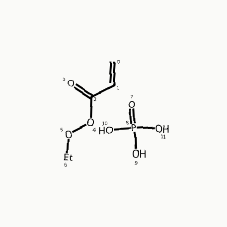 C=CC(=O)OOCC.O=P(O)(O)O